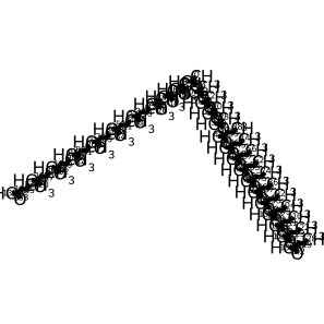 CC(=O)O.CC(=O)O.CC(=O)O.CC(=O)O.CC(=O)O.CC(=O)O.CC(=O)O.CC(=O)O.CCCC(=O)O.CCCC(=O)O.CCCC(=O)O.CCCC(=O)O.CCCC(=O)O.CCCC(=O)O.CCCC(=O)O.CCCC(=O)O.CCCC(=O)O.CCCC(=O)O.CCCC(=O)O.CCCC(=O)O.CCCC(=O)O.CCCC(=O)O.CCCC(=O)O.CCCC(=O)O.CCCC(=O)O.CCCC(=O)O